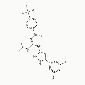 CC(C)N/C(=N/C(=O)c1ccc(C(F)(F)F)cc1)NC1CC(c2cc(F)cc(F)c2)NN1